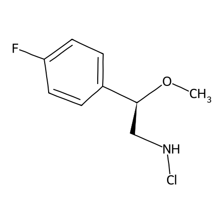 CO[C@@H](CNCl)c1ccc(F)cc1